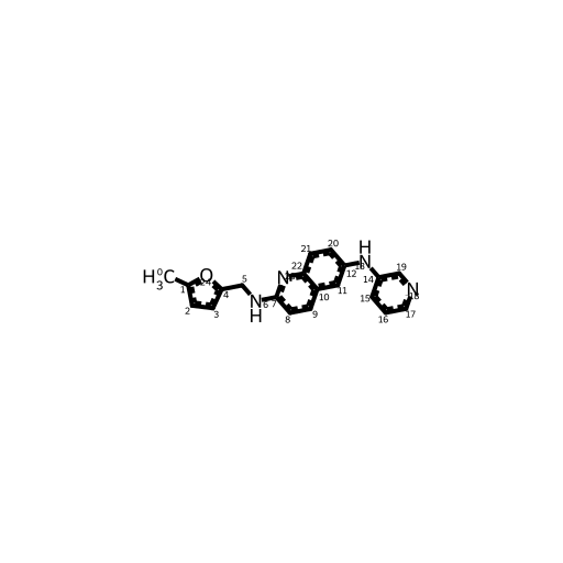 Cc1ccc(CNc2ccc3cc(Nc4cccnc4)ccc3n2)o1